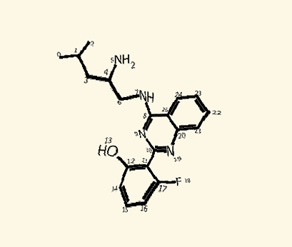 CC(C)CC(N)CNc1nc(-c2c(O)cccc2F)nc2ccccc12